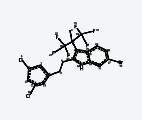 CC(c1c(CCc2cc(Cl)cc(Cl)c2)[nH]c2cc(Br)ccc12)(C(F)(F)F)C(F)(F)F